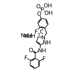 O=C(NC1=CCN(Cc2ccc(OP(=O)(O)O)cc2C(F)(F)F)N1)c1c(F)cccc1F.[NaH].[NaH]